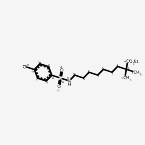 CCOC(=O)C(C)(C)CCCCCCCNS(=O)(=O)c1ccc(Cl)cc1